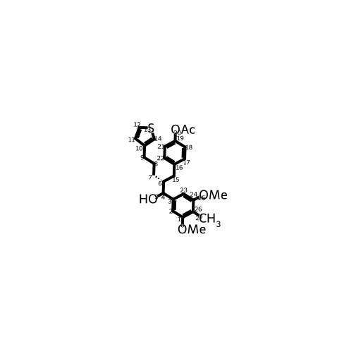 COc1cc(C(O)[C@H](CCCc2ccsc2)Cc2ccc(OC(C)=O)cc2)cc(OC)c1C